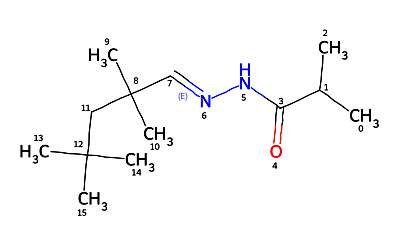 CC(C)C(=O)N/N=C/C(C)(C)CC(C)(C)C